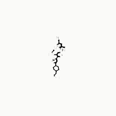 C[C@H](C#N)Nc1cc(-n2ncc3cc(C#N)cnc32)ncc1-c1cc(C2CCC(CCO)CC2)no1